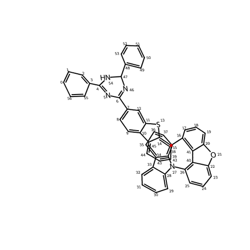 c1ccc(C2=NC(c3ccc4c(c3)sc3c(-c5cccc6oc7cccc(-n8c9ccccc9c9ccccc98)c7c56)cccc34)=NC(c3ccccc3)N2)cc1